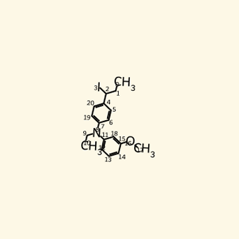 CCC(I)c1ccc(N(CC)c2cccc(OC)c2)cc1